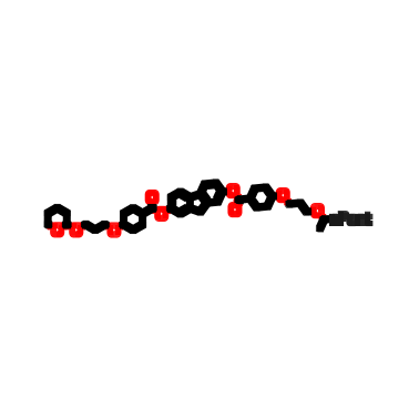 CCCCCC(C)OCCCOC1CCC(C(=O)Oc2ccc3c(c2)Cc2cc(OC(=O)C4CCC(OCCCOC5CCCCO5)CC4)ccc2-3)CC1